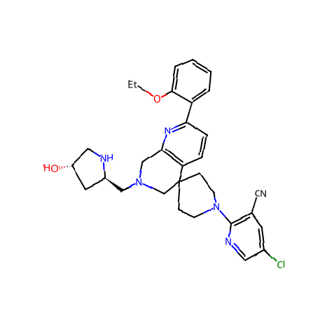 CCOc1ccccc1-c1ccc2c(n1)CN(C[C@H]1C[C@H](O)CN1)CC21CCN(c2ncc(Cl)cc2C#N)CC1